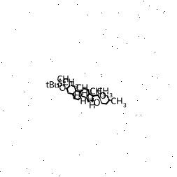 CC1CC[C@@]2(OC1)O[C@H]1C[C@H]3[C@@H]4CC=C5CC(O[Si](C)(C)C(C)(C)C)CC[C@]5(C)[C@H]4CC[C@]3(C)[C@H]1[C@@H]2C